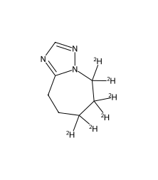 [2H]C1([2H])CCc2ncnn2C([2H])([2H])C1([2H])[2H]